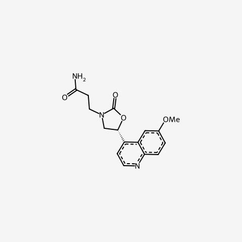 COc1ccc2nccc([C@@H]3CN(CCC(N)=O)C(=O)O3)c2c1